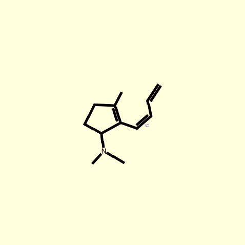 C=C/C=C\C1=C(C)CCC1N(C)C